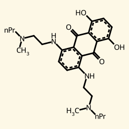 CCCN(C)CCNc1ccc(NCCN(C)CCC)c2c1C(=O)c1c(O)ccc(O)c1C2=O